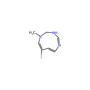 CN1\C=C(I)/C=C/N=C\NC1